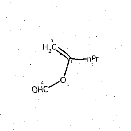 C=C(CCC)OC=O